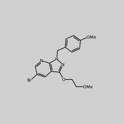 COCCOc1nn(Cc2ccc(OC)cc2)c2ncc(Br)cc12